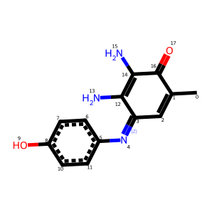 CC1=C/C(=N/c2ccc(O)cc2)C(N)=C(N)C1=O